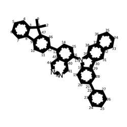 CC1(C)c2ccccc2-c2ccc(-c3ccc(-n4c5ccc(-c6ccccc6)cc5c5cc6ccccc6cc54)c4cnncc34)cc21